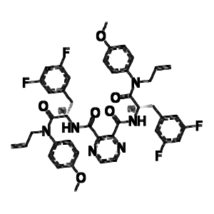 C=CCN(C(=O)[C@H](Cc1cc(F)cc(F)c1)NC(=O)c1nccnc1C(=O)N[C@@H](Cc1cc(F)cc(F)c1)C(=O)N(CC=C)c1ccc(OC)cc1)c1ccc(OC)cc1